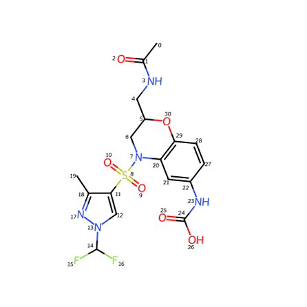 CC(=O)NCC1CN(S(=O)(=O)c2cn(C(F)F)nc2C)c2cc(NC(=O)O)ccc2O1